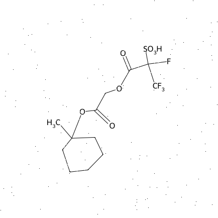 CC1(OC(=O)COC(=O)C(F)(C(F)(F)F)S(=O)(=O)O)CCCCC1